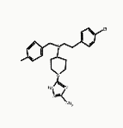 Cc1ccc(CN(CCc2ccc(Cl)cc2)C2CCN(c3nc(N)n[nH]3)CC2)cc1